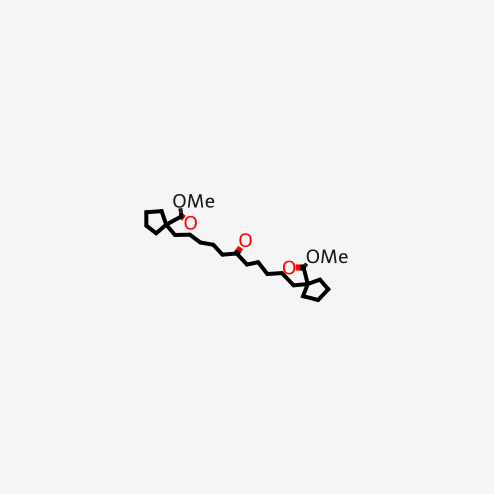 COC(=O)C1(CCCCCC(=O)CCCCCC2(C(=O)OC)CCCC2)CCCC1